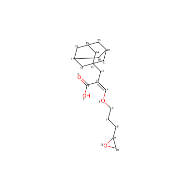 O=C(O)C(=COCCCC1CO1)CC12CC3CC(CC(C3)C1)C2